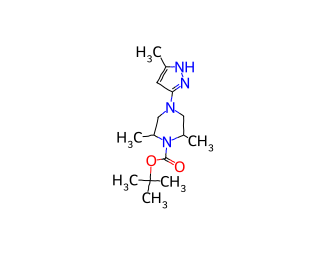 Cc1cc(N2CC(C)N(C(=O)OC(C)(C)C)C(C)C2)n[nH]1